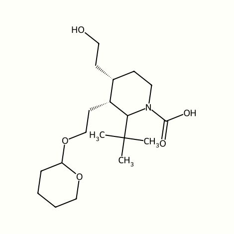 CC(C)(C)C1[C@H](CCOC2CCCCO2)[C@H](CCO)CCN1C(=O)O